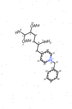 CCCC(OC)C(CC[CH]([InH2])Cc1cc[n+](Cc2ccccc2)cc1)OC